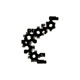 COc1cccc(C(F)(F)c2ccc(N3C(=O)c4c(NC(=O)c5ccc(OC)c(C#N)c5)cnn4C[C@@H]3C)cc2)n1